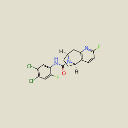 O=C(Nc1cc(Cl)c(Cl)cc1F)N1[C@H]2CC[C@@H]1c1ccc(F)nc1C2